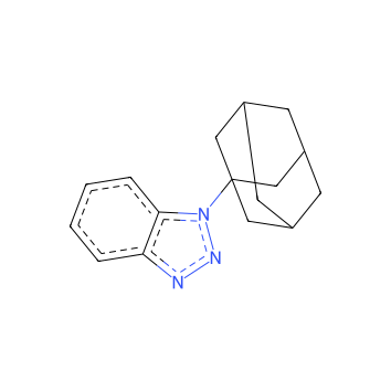 c1ccc2c(c1)nnn2C12CC3CC(CC(C3)C1)C2